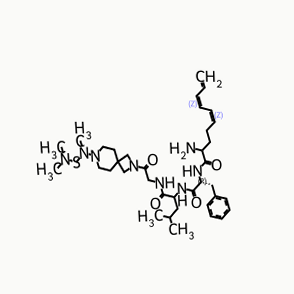 C=C/C=C\C=C/CCC(N)C(=O)N[C@H](Cc1ccccc1)C(=O)NC(CC(C)C)C(=O)NCC(=O)N1CC2(CCN(N(C)SN(C)C)CC2)C1